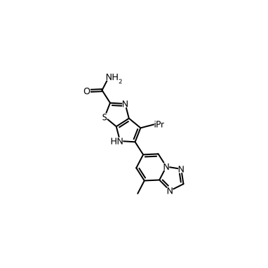 Cc1cc(-c2[nH]c3sc(C(N)=O)nc3c2C(C)C)cn2ncnc12